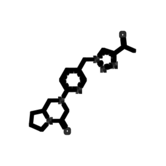 CC(=O)c1cn(Cc2ccc(N3CC(=O)N4CCCC4C3)nc2)nn1